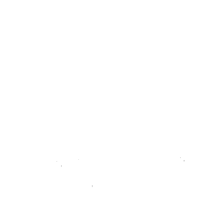 COc1cc(C(=O)O)ccc1OCc1csc(Cc2ccc(NC(=O)Nc3ccccc3C)cc2)n1